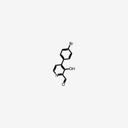 O=Cc1nccc(-c2ccc(Br)cc2)c1O